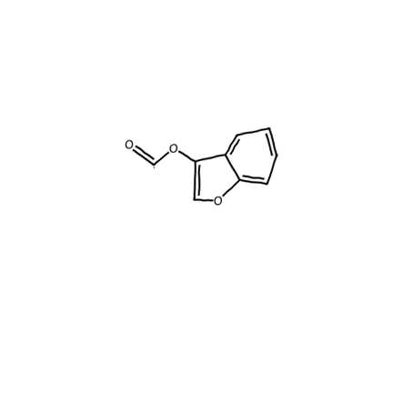 O=[C]Oc1coc2ccccc12